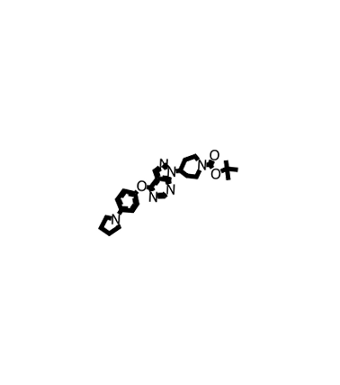 CC(C)(C)OC(=O)N1CCC(n2ncc3c(Oc4ccc(N5CCCC5)cc4)ncnc32)CC1